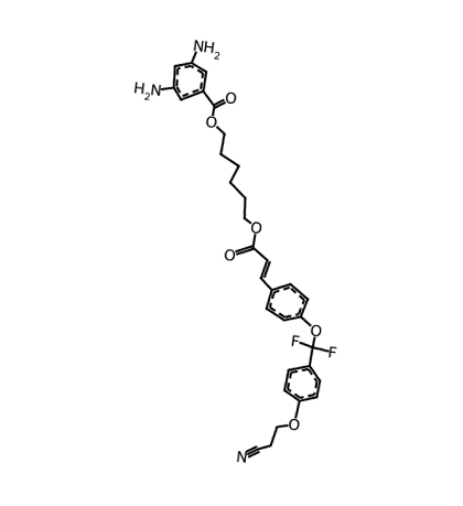 N#CCCOc1ccc(C(F)(F)Oc2ccc(C=CC(=O)OCCCCCCOC(=O)c3cc(N)cc(N)c3)cc2)cc1